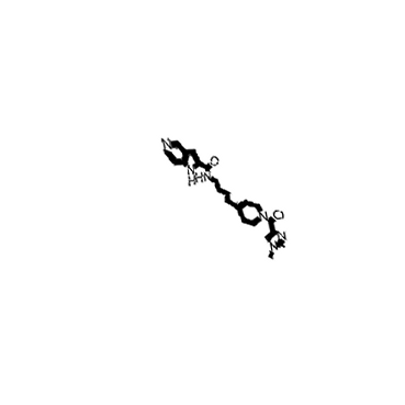 Cn1cnc(C(=O)N2CCC(CCCCNC(=O)c3cc4cnccc4[nH]3)CC2)c1